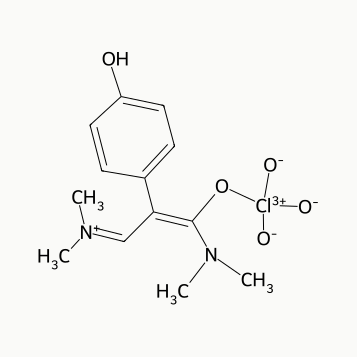 CN(C)C(O[Cl+3]([O-])([O-])[O-])=C(C=[N+](C)C)c1ccc(O)cc1